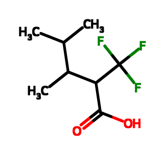 CC(C)C(C)C(C(=O)O)C(F)(F)F